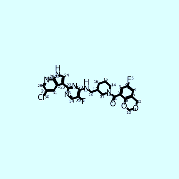 O=C(c1cc(F)cc2c1OCOC2)N1CCCC(CNc2nc(-c3c[nH]c4ncc(Cl)cc34)ncc2F)C1